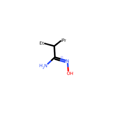 CCC(/C(N)=N/O)C(C)C